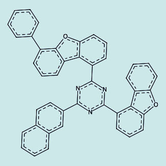 c1ccc(-c2cccc3c2oc2cccc(-c4nc(-c5ccc6ccccc6c5)nc(-c5cccc6oc7ccccc7c56)n4)c23)cc1